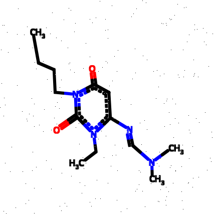 CCCCn1c(=O)cc(N=CN(C)C)n(CC)c1=O